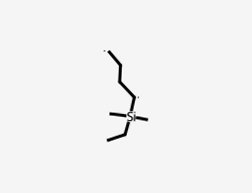 [CH2]CC[CH][Si](C)(C)CC